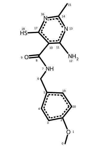 COc1ccc(CNC(=O)c2c(N)nc(C)nc2S)cc1